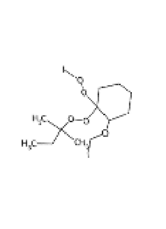 CCC(C)(C)OOC1(OOI)CCCCC1OCI